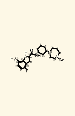 CC(=O)N1CCCN([C@H]2CCC[C@@H](NC(=O)C3Cc4c(F)ccc(C)c4N3)C2)CC1